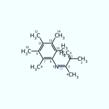 C=C(C)/C(C)=N\c1c(C)c(C)c(C)c(C)c1C